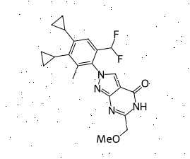 COCc1nc2nn(-c3c(C(F)F)cc(C4CC4)c(C4CC4)c3C)cc2c(=O)[nH]1